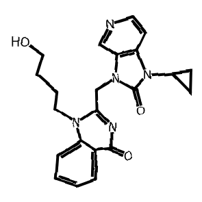 O=c1nc(Cn2c(=O)n(C3CC3)c3ccncc32)n(CCCCO)c2ccccc12